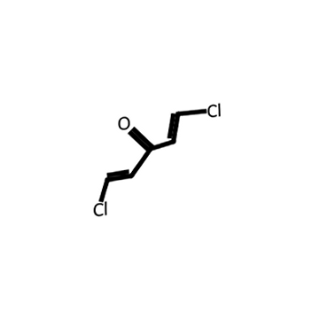 O=C(C=CCl)C=CCl